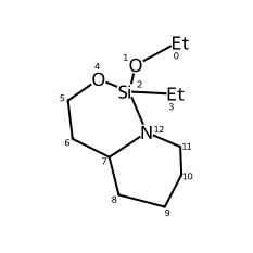 CCO[Si]1(CC)OCCC2CCCCN21